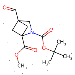 COC(=O)C12CC(C=O)(CN1C(=O)OC(C)(C)C)C2